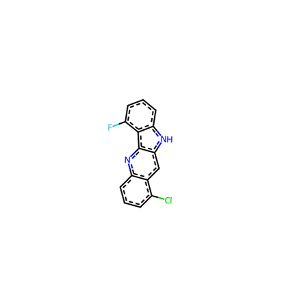 Fc1cccc2[nH]c3cc4c(Cl)cccc4nc3c12